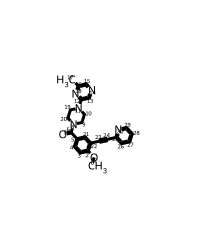 COc1ccc(C(=O)N2CCN(c3cncc(C)n3)CC2)cc1C#Cc1ccccn1